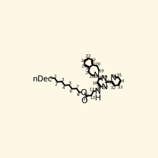 CCCCCCCCCCCCCCCCCCOC(=O)CCNc1cc(N2CCc3ccccc3CC2)nc(-c2ccccn2)n1